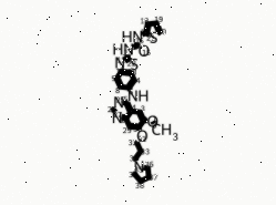 COc1cc2c(Nc3ccc4nc(NC(=O)Nc5cccs5)sc4c3)ncnc2cc1OCCCN1CCCC1